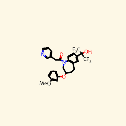 COc1cccc(OC2CCc3cc(C(O)(C(F)(F)F)C(F)(F)F)ccc3N(C(=O)Cc3cccnc3)C2)c1